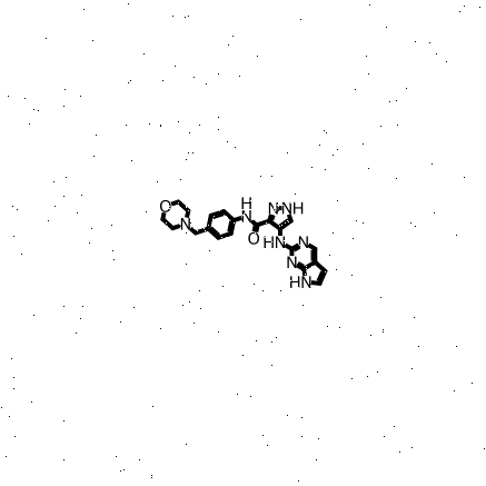 O=C(Nc1ccc(CN2CCOCC2)cc1)c1n[nH]cc1Nc1ncc2cc[nH]c2n1